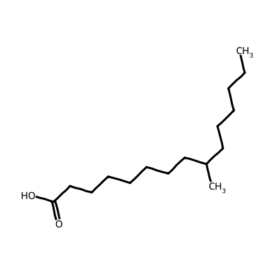 CCCCCCC(C)CCCCCCCC(=O)O